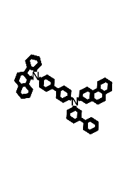 C1=CC2C=Cc3cc(N(c4ccc(-c5ccc(-n6c7ccccc7c7ccc8ccccc8c76)cc5)cc4)c4cccc(-c5ccccc5)c4)ccc3C2C=C1